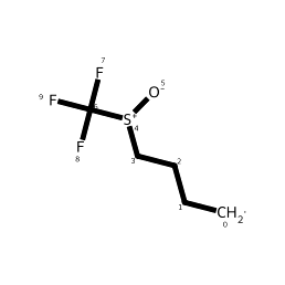 [CH2]CCC[S+]([O-])C(F)(F)F